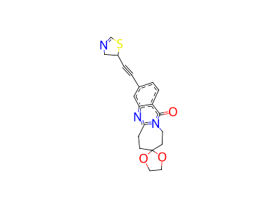 O=c1c2ccc(C#CC3CN=CS3)cc2nc2n1CCC1(CC2)OCCO1